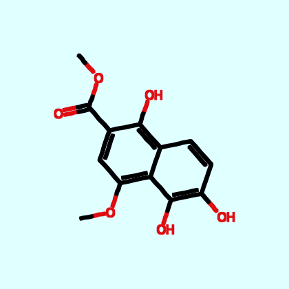 COC(=O)c1cc(OC)c2c(O)c(O)ccc2c1O